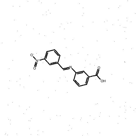 O=C(O)c1cccc(/N=C/c2cccc([N+](=O)[O-])c2)c1